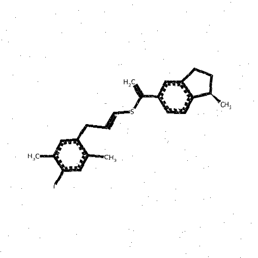 C=C(S/C=C/Cc1cc(C)c(I)cc1C)c1ccc2c(c1)CC[C@H]2C